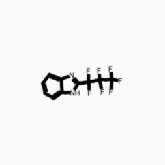 FC(F)(F)C(F)(F)C(F)(F)c1nc2ccccc2[nH]1